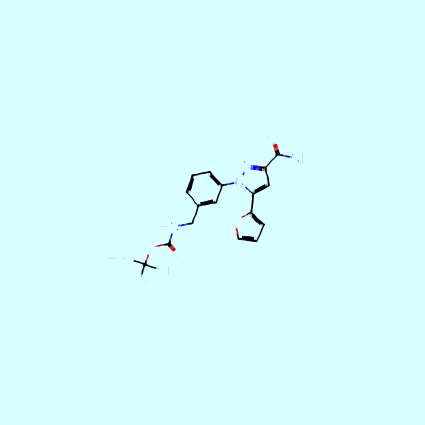 CC(C)(C)OC(=O)NCc1cccc(-n2nc(C(N)=O)cc2-c2ccco2)c1